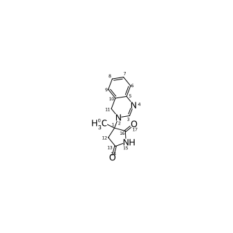 CC1(N2C=Nc3ccccc3C2)CC(=O)NC1=O